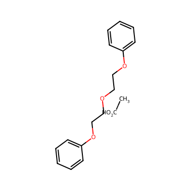 CC(=O)O.c1ccc(OCCOCCOc2ccccc2)cc1